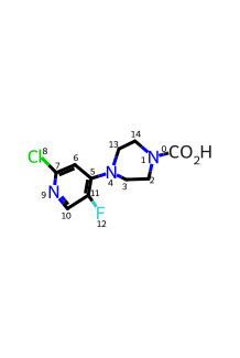 O=C(O)N1CCN(c2cc(Cl)ncc2F)CC1